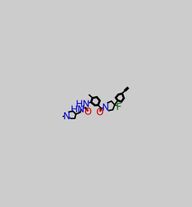 C#Cc1ccc(C2(F)CCN(C(=O)c3ccc(C)c(NC(=O)NCC4CCN(C)CC4)c3)CC2)cc1